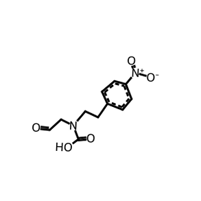 O=CCN(CCc1ccc([N+](=O)[O-])cc1)C(=O)O